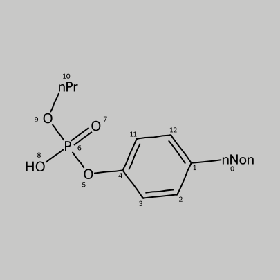 CCCCCCCCCc1ccc(OP(=O)(O)OCCC)cc1